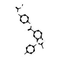 Cc1nc2ccc(C(=O)Nc3ccc(NC(=O)OC(C)(C)C)cc3)cc2n1-c1ccc(F)cc1